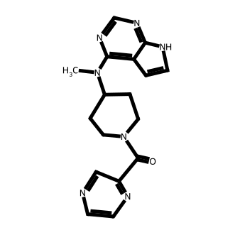 CN(c1ncnc2[nH]ccc12)C1CCN(C(=O)c2cnccn2)CC1